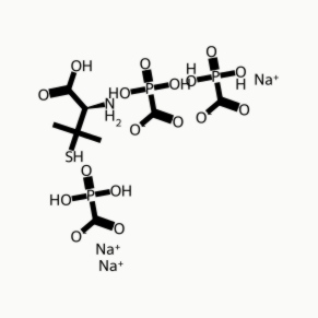 CC(C)(S)[C@H](N)C(=O)O.O=C([O-])P(=O)(O)O.O=C([O-])P(=O)(O)O.O=C([O-])P(=O)(O)O.[Na+].[Na+].[Na+]